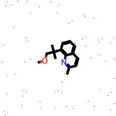 COCC(C)(C)c1cccc2ccc(C)nc12